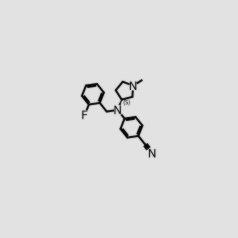 CN1CC[C@H](N(Cc2ccccc2F)c2ccc(C#N)cc2)C1